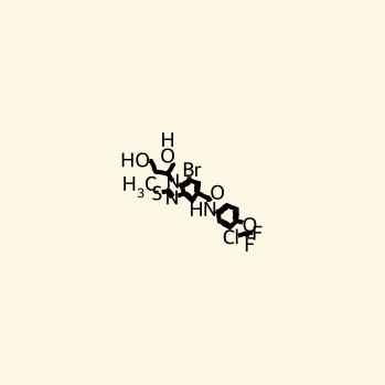 CSc1nc2cc(C(=O)Nc3ccc(OC(F)(F)Cl)cc3)cc(Br)c2n1C(CO)CCO